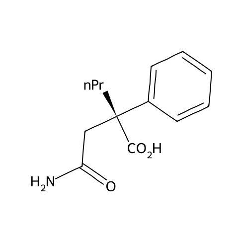 CCC[C@](CC(N)=O)(C(=O)O)c1ccccc1